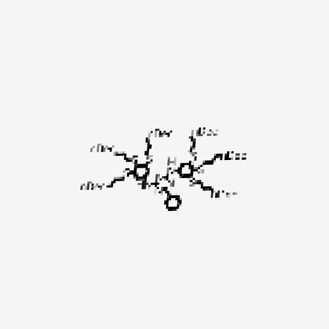 CCCCCCCCCCCCCSc1cc(Nc2nc(Nc3cc(SCCCCCCCCCCCCC)c(SCCCCCCCCCCCCC)c(SCCCCCCCCCCCCC)c3)nc(-c3cc[c]cc3)n2)cc(SCCCCCCCCCCCCC)c1SCCCCCCCCCCCCC